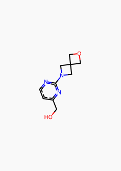 OCc1ccnc(N2CC3(COC3)C2)n1